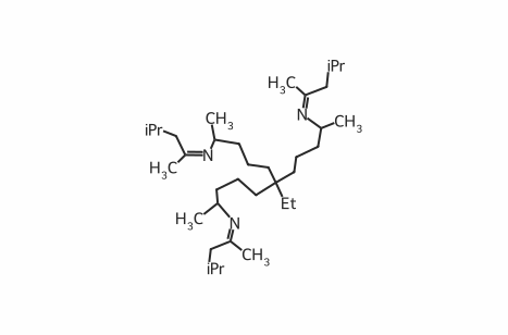 CCC(CCCC(C)N=C(C)CC(C)C)(CCCC(C)N=C(C)CC(C)C)CCCC(C)N=C(C)CC(C)C